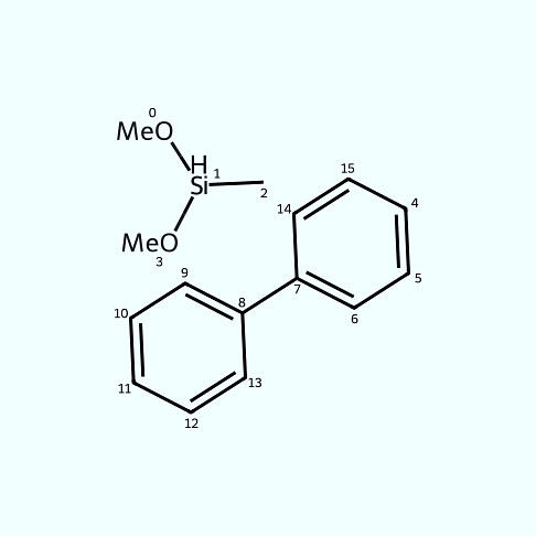 CO[SiH](C)OC.c1ccc(-c2ccccc2)cc1